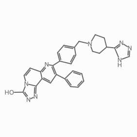 Oc1nnc2c3cc(-c4ccccc4)c(-c4ccc(CN5CCC(c6nnc[nH]6)CC5)cc4)nc3ccn12